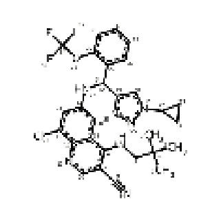 CC(C)(C)CNc1c(C#N)cnc2c(Cl)cc(N[C@H](c3cn(C4CC4)nn3)c3ccccc3OC(F)(F)F)cc12